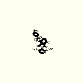 COc1nccc(C)c1N1C(=O)c2c(Cl)ccc(NS(=O)(=O)c3ccc(C(C)(C)C)cc3)c2C1=O